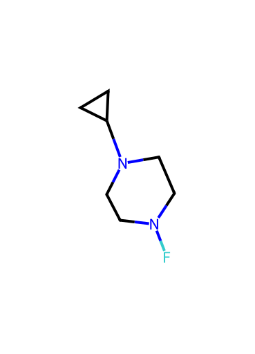 FN1CCN(C2CC2)CC1